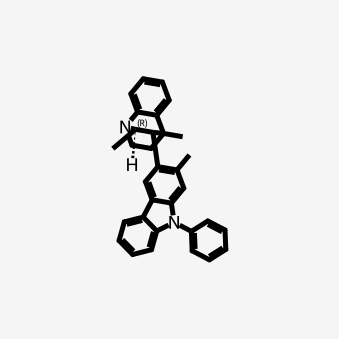 Cc1cc2c(cc1C1[C@@H](C)N3CCC1(C)c1ccccc13)c1ccccc1n2-c1ccccc1